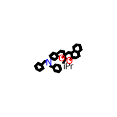 CC(C)CC1OC2=CC=C3C=CC=CC3C2=CC12C=Cc1ccc(N(Cc3ccccc3)Cc3ccccc3)cc1O2